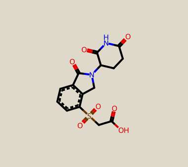 O=C(O)CS(=O)(=O)c1cccc2c1CN(C1CCC(=O)NC1=O)C2=O